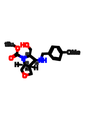 COc1ccc(CN[C@H]2[C@H]3COC[C@H]3N(C(=O)OC(C)(C)C)[C@H]2CO)cc1